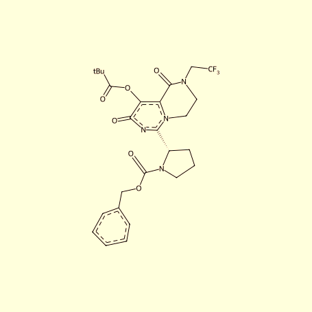 CC(C)(C)C(=O)Oc1c2n(c([C@@H]3CCCN3C(=O)OCc3ccccc3)nc1=O)CCN(CC(F)(F)F)C2=O